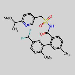 COc1ccc(C(F)F)cc1-c1cc(C)ccc1C(=O)NS(=O)(=O)Cc1ccc(C(C)OC)nc1